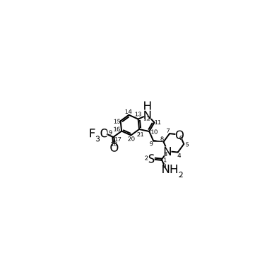 NC(=S)N1CCOC[C@@H]1Cc1c[nH]c2ccc(C(=O)C(F)(F)F)cc12